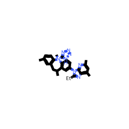 CCc1nc2c(C)cc(C)nc2n1-c1ccc2c(c1)C(C)Cc1cc(C)ccc1[N+]2(C)c1nnn[nH]1